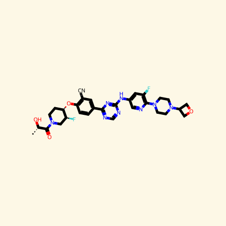 C[C@H](O)C(=O)N1CC[C@H](Oc2ccc(-c3ncnc(Nc4cnc(N5CCN(C6COC6)CC5)c(F)c4)n3)cc2C#N)[C@@H](F)C1